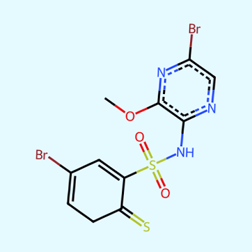 COc1nc(Br)cnc1NS(=O)(=O)C1=CC(Br)=CCC1=S